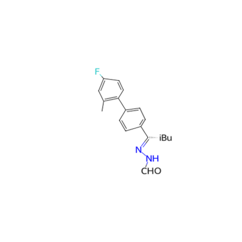 CC[C@@H](C)/C(=N\NC=O)c1ccc(-c2ccc(F)cc2C)cc1